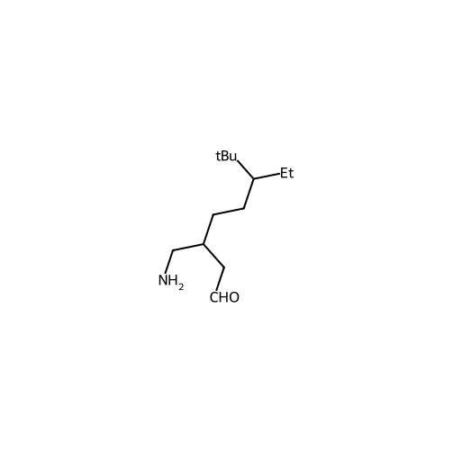 CCC(CCC(CN)CC=O)C(C)(C)C